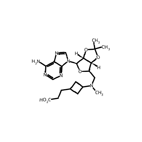 CN(CC1OC(n2cnc3c(N)ncnc32)[C@@H]2OC(C)(C)O[C@H]12)C1CC(CCC(=O)O)C1